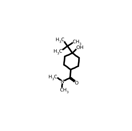 CN(C)C(=O)C1CCC(O)(C(C)(C)C)CC1